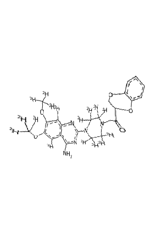 [2H]c1c(OC([2H])([2H])[2H])c(OC([2H])([2H])[2H])c([2H])c2c(N)nc(N3C([2H])([2H])C([2H])([2H])N(C(=O)C4COc5ccccc5O4)C([2H])([2H])C3([2H])[2H])nc12